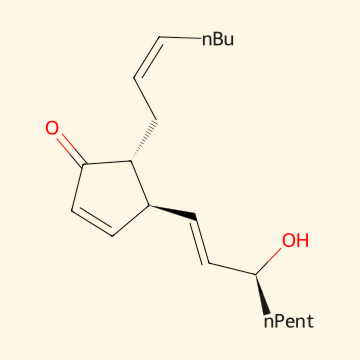 CCCC/C=C\C[C@H]1C(=O)C=C[C@@H]1/C=C/[C@@H](O)CCCCC